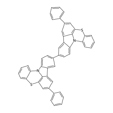 c1ccc(-c2cc3c4c(c2)c2cc(-c5ccc6c(c5)c5cc(-c7ccccc7)cc7c5n6-c5ccccc5S7)ccc2n4-c2ccccc2S3)cc1